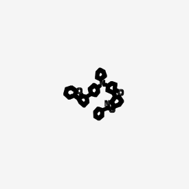 c1ccc(-c2nc3c(ccc4oc5ccc(N(c6ccccc6)c6ccc(-c7cccc8c7oc7ccccc78)cc6)cc5c43)o2)cc1